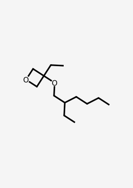 CCCCC(CC)COC1(CC)COC1